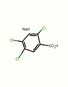 O=S(=O)(O)c1cc(Cl)c(Cl)cc1Cl.[NaH]